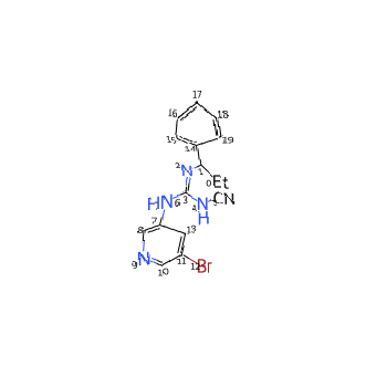 CCC(N=C(NC#N)Nc1cncc(Br)c1)c1ccccc1